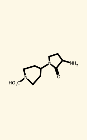 NC1CCN(C2CCN(C(=O)O)CC2)C1=O